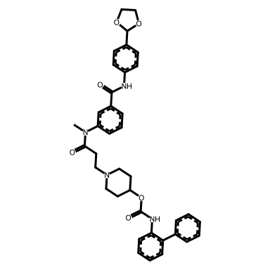 CN(C(=O)CCN1CCC(OC(=O)Nc2ccccc2-c2ccccc2)CC1)c1cccc(C(=O)Nc2ccc(C3OCCO3)cc2)c1